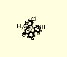 CC1(c2ccc(Cl)cn2)CC(=O)c2cccc(C3CCNCC3)c2O1